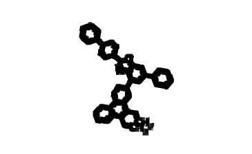 C=Cc1c(C=C)c2cc(-c3cc(-c4ccccc4)cc4oc(-c5ccc(-c6ccccc6)cc5)nc34)ccc2c2ccccc12